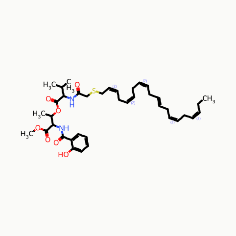 CC/C=C\C/C=C\CC=CC/C=C\C/C=C\C/C=C\CSCC(=O)NC(C(=O)OC(C)C(NC(=O)c1ccccc1O)C(=O)OC)C(C)C